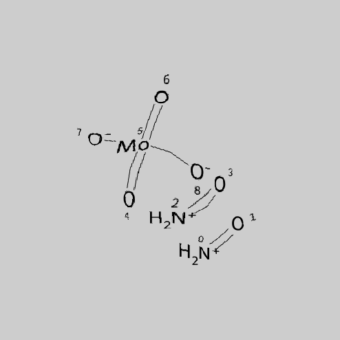 [NH2+]=O.[NH2+]=O.[O]=[Mo](=[O])([O-])[O-]